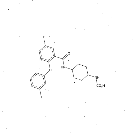 O=C(O)NC1CCC(NC(=O)c2cc(F)cnc2Oc2cccc(I)c2)CC1